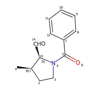 C[C@@H]1CCN(C(=O)c2ccccc2)[C@@H]1C=O